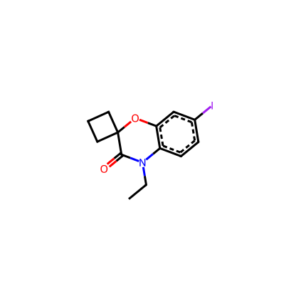 CCN1C(=O)C2(CCC2)Oc2cc(I)ccc21